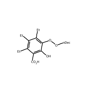 CCCCCCCCCCOOc1c(O)c(C(=O)O)c(CC)c(CC)c1CC